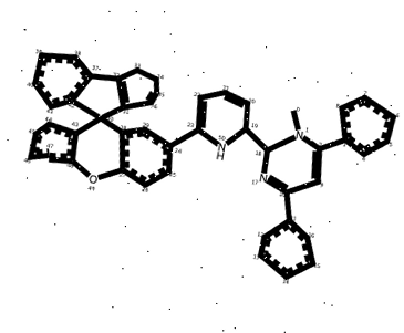 CN1C(c2ccccc2)=CC(c2ccccc2)=NC1C1C=CC=C(c2ccc3c(c2)C2(C4=C(CCC=C4)c4ccccc42)c2ccccc2O3)N1